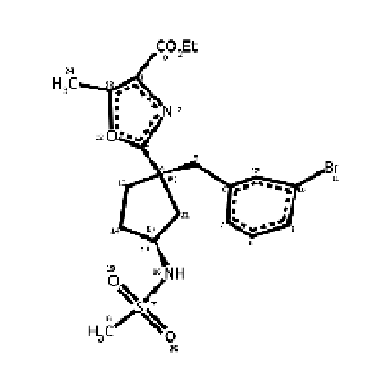 CCOC(=O)c1nc([C@@]2(Cc3cccc(Br)c3)CC[C@H](NS(C)(=O)=O)C2)oc1C